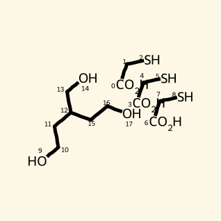 O=C(O)CS.O=C(O)CS.O=C(O)CS.OCCC(CO)CCO